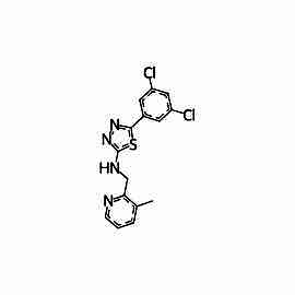 Cc1cccnc1CNc1nnc(-c2cc(Cl)cc(Cl)c2)s1